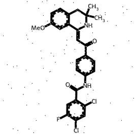 COc1ccc2c(c1)/C(=C/C(=O)c1ccc(NC(=O)c3cc(F)c(Cl)cc3Cl)cc1)NC(C)(C)C2